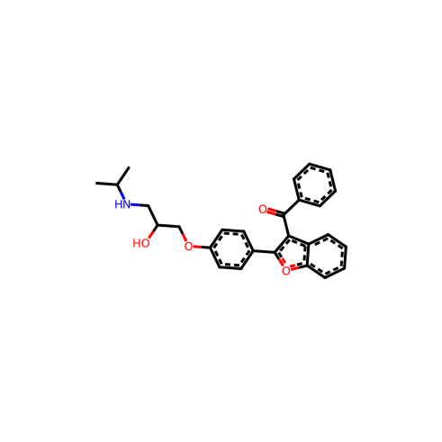 CC(C)NCC(O)COc1ccc(-c2oc3ccccc3c2C(=O)c2ccccc2)cc1